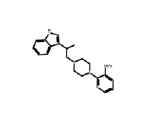 COc1cccnc1N1CCN(CC(C)c2c[nH]c3ccccc23)CC1